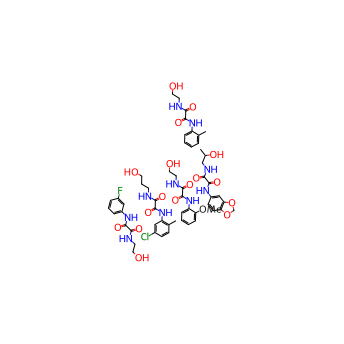 CC(O)CNC(=O)C(=O)Nc1ccc2c(c1)OCO2.COc1ccccc1NC(=O)C(=O)NCCO.Cc1ccc(Cl)cc1NC(=O)C(=O)NCCCO.Cc1ccccc1NC(=O)C(=O)NCCO.O=C(NCCO)C(=O)Nc1cccc(F)c1